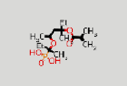 C=C(C)C(=O)OC(C)(CC)CC(C)OC(C)(CC)P(=O)(O)O